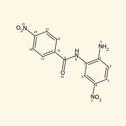 Nc1ccc([N+](=O)[O-])cc1NC(=O)c1ccc([N+](=O)[O-])cc1